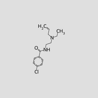 C=CCN(CC)CCNC(=O)c1ccc(Cl)cc1